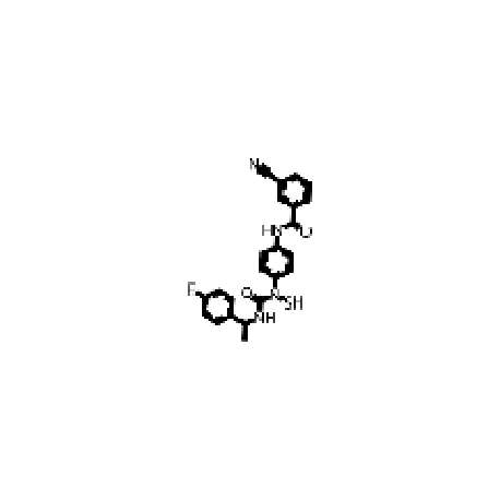 CC(NC(=O)N(S)c1ccc(NC(=O)c2cccc(C#N)c2)cc1)c1ccc(F)cc1